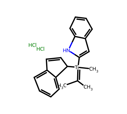 C[C](C)=[Ti]([CH3])([c]1cc2ccccc2[nH]1)[CH]1C=Cc2ccccc21.Cl.Cl